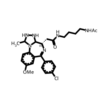 COc1ccc2c(c1)C(c1ccc(Cl)cc1)=N[C@@H](CC(=O)NCCCCNC(C)=O)C1NNC(C)N21